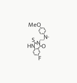 COc1ccc(N(C)CCn2c(=S)[nH]c3ccc(F)cc3c2=O)cc1